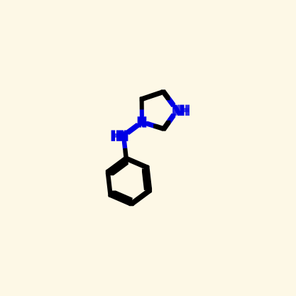 c1ccc(NN2CCNC2)cc1